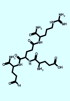 [3H]C(=O)CCC(NC(=O)C(CCC(=O)NC(CCCNC(=N)N)C(N)=O)NC(=O)C(N)CCC(=O)O)C(N)=O